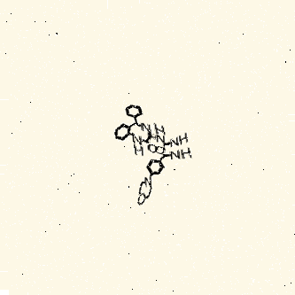 N=C(N[C@H]1N=C(c2ccccc2)c2ccccc2NC1=O)OC(=N)c1ccc(N2CCOCC2)cc1